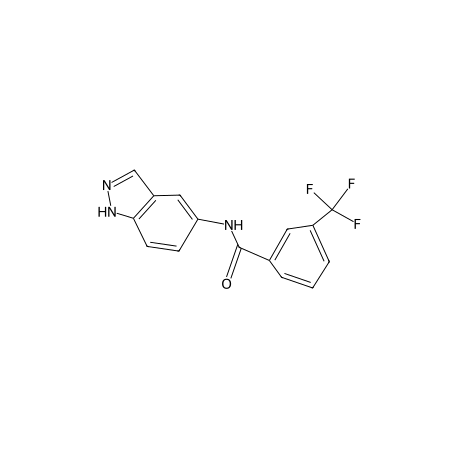 O=C(Nc1ccc2[nH]ncc2c1)c1cccc(C(F)(F)F)c1